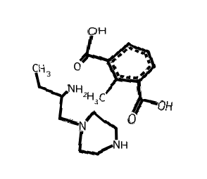 CCC(N)CN1CCNCC1.Cc1c(C(=O)O)cccc1C(=O)O